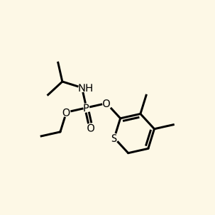 CCOP(=O)(NC(C)C)OC1=C(C)C(C)=CCS1